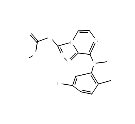 CCN(c1cc(O)ccc1C)c1nccn2c(NC(=O)OC(C)C)nnc12